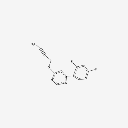 CC#CCOc1cc(-c2ccc(F)cc2F)ncn1